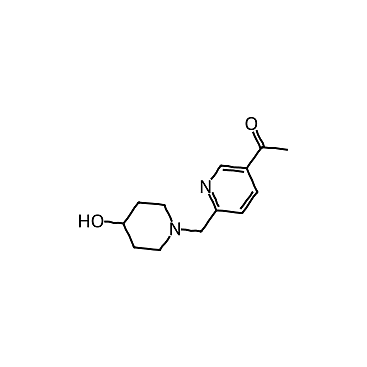 CC(=O)c1ccc(CN2CCC(O)CC2)nc1